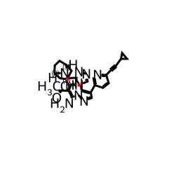 CC(=O)c1c([C@@H]2C[C@H]3CC[C@@H](C2)N3C(=O)c2nnc[nH]2)nc2c(-c3ccc(C#CC4CC4)nc3)cnn2c1N